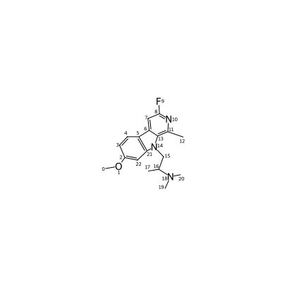 COc1ccc2c3cc(F)nc(C)c3n(CC(C)N(C)C)c2c1